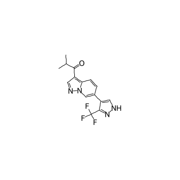 CC(C)C(=O)c1cnn2cc(-c3c[nH]nc3C(F)(F)F)ccc12